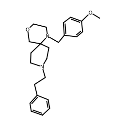 COc1ccc(CN2CCOCC23CCN(CCc2ccccc2)CC3)cc1